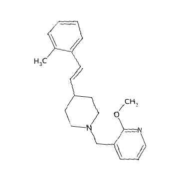 COc1ncccc1CN1CCC(C=Cc2ccccc2C)CC1